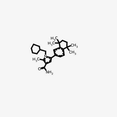 Cc1c(C(N)=O)cc(-c2ccc3c(c2)C(C)(C)CCC3(C)C)n1CC1CCCCC1